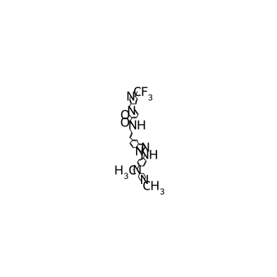 CN1CCC(N(C)c2ccc(Nc3ncc4cc(C=CCNC(=O)c5cccn(Cc6ccc(C(F)(F)F)nc6)c5=O)ccc4n3)cc2)CC1